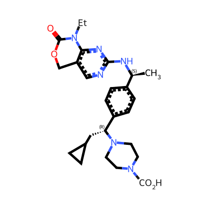 CCN1C(=O)OCc2cnc(N[C@@H](C)c3ccc([C@@H](CC4CC4)N4CCN(C(=O)O)CC4)cc3)nc21